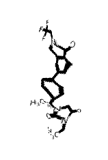 CCN1C(=O)CN([C@H](C)c2ccc(-c3ccc4c(c3)CN(CC(F)(F)F)C4=O)cc2)C1=O